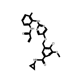 C=CC(=O)Nc1cccc(C)c1Nc1ncc(OCc2cc(C(=O)NC3CC3)cc(OC)c2Cl)cn1